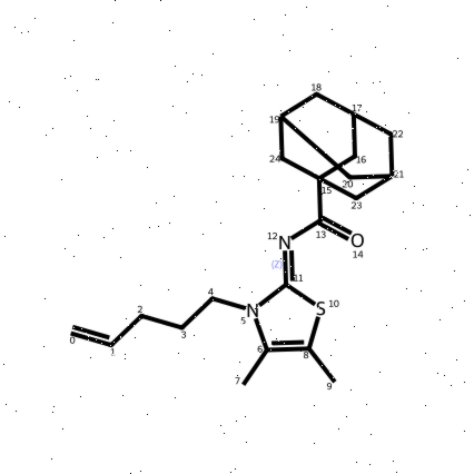 C=CCCCn1c(C)c(C)s/c1=N\C(=O)C12CC3CC(CC(C3)C1)C2